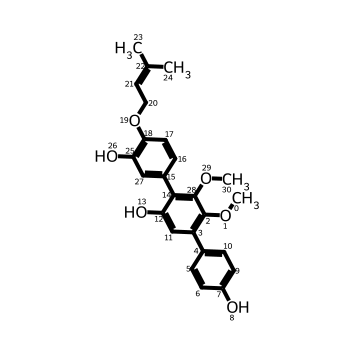 COc1c(-c2ccc(O)cc2)cc(O)c(-c2ccc(OCC=C(C)C)c(O)c2)c1OC